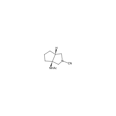 CC(=O)N[C@@]12CCC[C@@H]1CN(C#N)C2